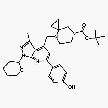 Cc1nn(C2CCCCO2)c2nc(-c3ccc(O)cc3)cc(CN3CCN(C(=O)OC(C)(C)C)CC34CC4)c12